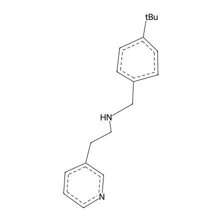 CC(C)(C)c1ccc(CNCCc2cccnc2)cc1